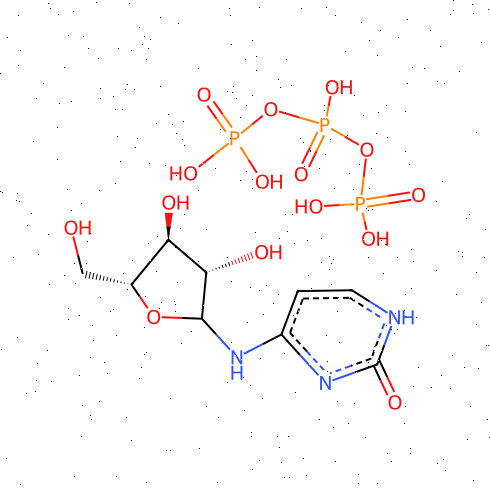 O=P(O)(O)OP(=O)(O)OP(=O)(O)O.O=c1nc(NC2O[C@H](CO)[C@@H](O)[C@@H]2O)cc[nH]1